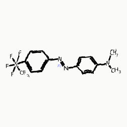 CN(C)c1ccc(/N=N/c2ccc(S(F)(F)(F)(F)C(F)(F)F)cc2)cc1